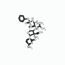 C#C[C@@]1(N)C(O)[C@@H](COP(=O)(N[C@@H](C)C(=O)OC(C)C)Oc2ccccc2)O[C@H]1n1ccc(N)nc1=O